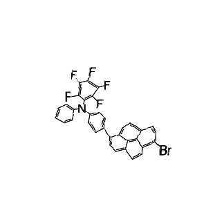 Fc1c(F)c(F)c(N(c2ccccc2)c2ccc(-c3ccc4ccc5c(Br)ccc6ccc3c4c65)cc2)c(F)c1F